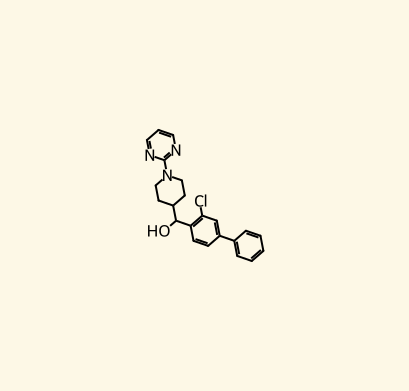 OC(c1ccc(-c2ccccc2)cc1Cl)C1CCN(c2ncccn2)CC1